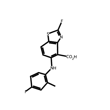 Cc1cc(I)ccc1Nc1ccc2sc(F)nc2c1C(=O)O